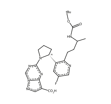 CC(CCc1ncc(F)cc1[C@H]1CCCN1c1ncn2ncc(C(=O)O)c2n1)NC(=O)OC(C)(C)C